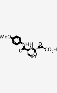 COc1ccc(NC(=O)[C@H](CC(C)C)NC(=O)[C@@H]2O[C@H]2C(=O)O)cc1